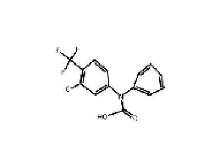 O=C(O)N(c1ccccc1)c1ccc(C(F)(F)F)c(Cl)c1